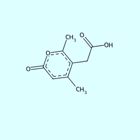 Cc1cc(=O)oc(C)c1CC(=O)O